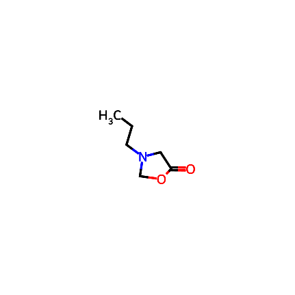 CCCN1COC(=O)C1